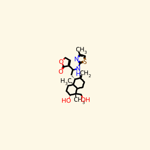 C=C1CCC2[C@](C)(CO)[C@H](O)CC[C@@]2(C)[C@@H]1CC(Nc1nc(C)cs1)C1=CCOC1=O